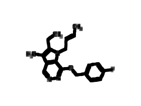 C/C=C/Cn1c(CC)c(C)c2cnnc(OCc3ccc(F)cc3)c21